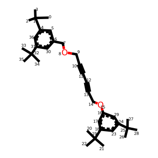 CC(C)(C)c1cc(COCC#CC#CCOc2cc(C(C)(C)C)cc(C(C)(C)C)c2)cc(C(C)(C)C)c1